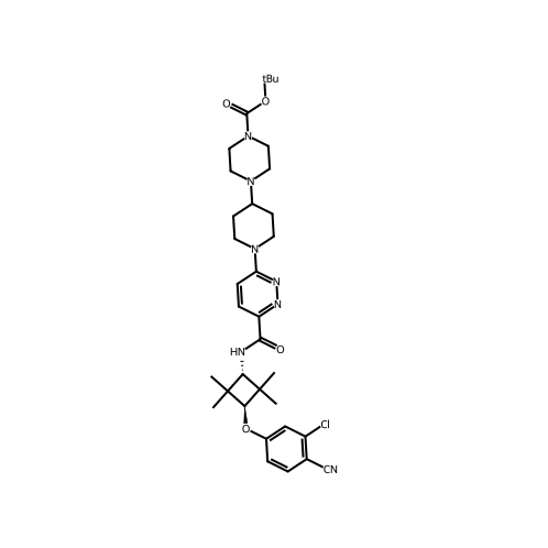 CC(C)(C)OC(=O)N1CCN(C2CCN(c3ccc(C(=O)N[C@H]4C(C)(C)[C@H](Oc5ccc(C#N)c(Cl)c5)C4(C)C)nn3)CC2)CC1